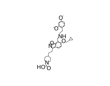 COc1ccc(CCNCc2c(OCC3CC3)ccc3c(CCC4CCN(C(=O)O)CC4)noc23)c(OC)c1